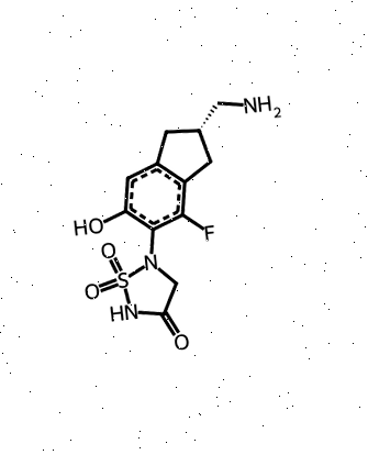 NC[C@H]1Cc2cc(O)c(N3CC(=O)NS3(=O)=O)c(F)c2C1